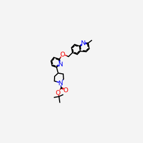 Cc1ccc2cc(COc3cccc(C4CCN(C(=O)OC(C)(C)C)CC4)n3)ccc2n1